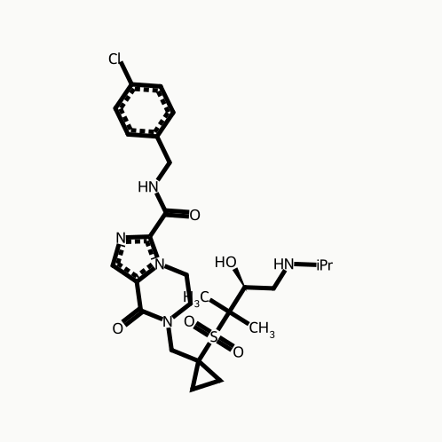 CC(C)NC[C@H](O)C(C)(C)S(=O)(=O)C1(CN2CCn3c(cnc3C(=O)NCc3ccc(Cl)cc3)C2=O)CC1